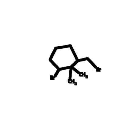 CC1(C)C(Br)CCCC1CBr